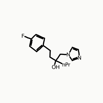 CCCC(O)(CCc1ccc(F)cc1)Cn1ccnc1